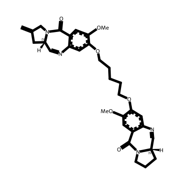 C=C1C[C@H]2C=Nc3cc(OCCCCCOc4cc5c(cc4OC)C(=O)N4CCC[C@H]4C=N5)c(OC)cc3C(=O)N2C1